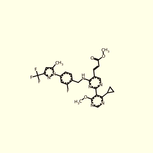 COC(=O)/C=C/c1cnc(-c2c(OC)ncnc2C2CC2)nc1NCc1ccc(-n2nc(C(F)(F)F)cc2C)cc1F